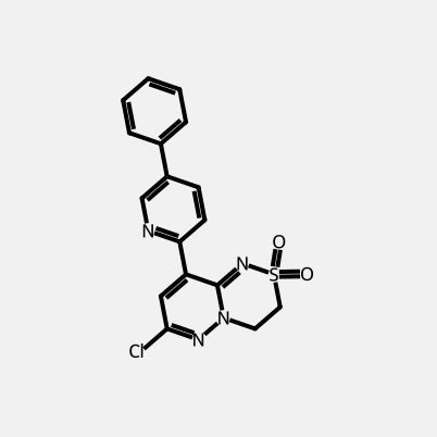 O=S1(=O)CCN2N=C(Cl)C=C(c3ccc(-c4ccccc4)cn3)C2=N1